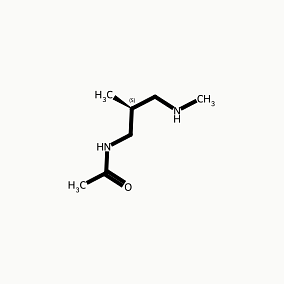 CNC[C@H](C)CNC(C)=O